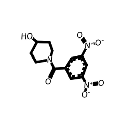 O=C(c1cc([N+](=O)[O-])cc([N+](=O)[O-])c1)N1CCC(O)CC1